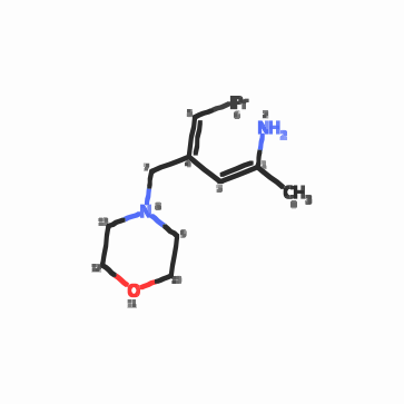 C/C(N)=C/C(=C\C(C)C)CN1CCOCC1